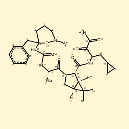 CC(=O)N1CCCC(Cc2ccccc2)(NC(=O)N[C@H](C(=O)N2C[C@H]3[C@@H]([C@H]2C(=O)NC(CC2CC2)C(=O)C(N)=O)C3(C)C)C(C)(C)C)C1